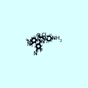 Cn1ncc2cc(-n3c(-c4ccc(C#N)c(F)c4)nc(N4CCC(N)CC4)c(Cl)c3=O)ccc21